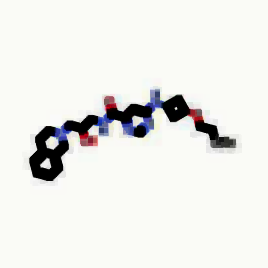 COCCO[C@H]1C[C@@H](Nc2cc(C(=O)NCC(O)CN3CCc4ccccc4C3)ncn2)C1